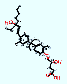 CCCCCC(O)(/C=C/c1ccc(C(CC)(CC)c2ccc(OC[C@@H](O)CCC(=O)O)c(C)c2)cc1C)CC